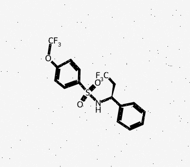 O=S(=O)(N[C@@H](CC(F)(F)F)c1ccccc1)c1ccc(OC(F)(F)F)cc1